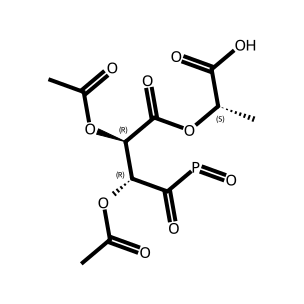 CC(=O)O[C@@H](C(=O)O[C@@H](C)C(=O)O)[C@@H](OC(C)=O)C(=O)P=O